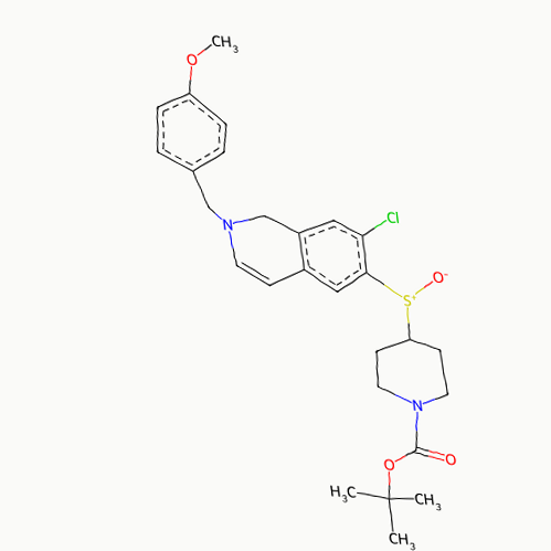 COc1ccc(CN2C=Cc3cc([S+]([O-])C4CCN(C(=O)OC(C)(C)C)CC4)c(Cl)cc3C2)cc1